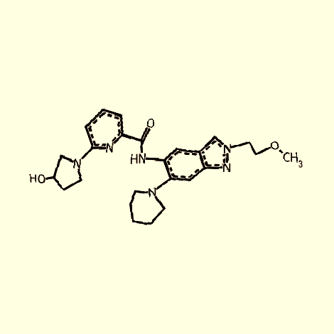 COCCn1cc2cc(NC(=O)c3cccc(N4CCC(O)C4)n3)c(N3CCCCC3)cc2n1